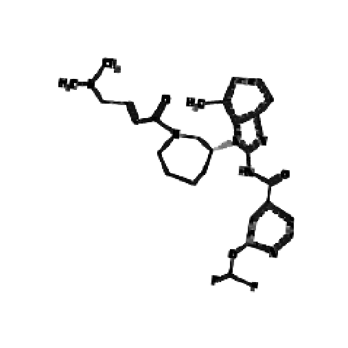 Cc1cccc2nc(NC(=O)c3ccnc(OC(F)F)c3)n([C@@H]3CCCCN(C(=O)/C=C/CN(C)C)C3)c12